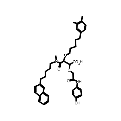 Cc1ccc(CCCCCOC(C(=O)N(C)CCCCCc2ccc3ccccc3c2)C(OCC(=O)Nc2ccc(O)cc2)C(=O)O)cc1C